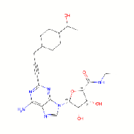 CCNC(=O)[C@H]1O[C@@H](n2cnc3c(N)nc(C#CCC4CCC(C(C)O)CC4)nc32)C(O)[C@H]1O